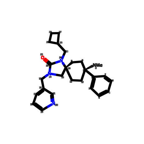 CN[C@]1(c2ccccc2)CC[C@@]2(CC1)CN(Cc1cccnc1)C(=O)N2CC1CCC1